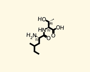 CCC(C)C[C@H](N)C(=O)N[C@H](C(=O)O)[C@@H](C)O